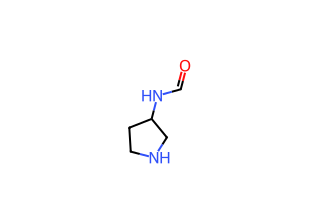 O=CNC1CCNC1